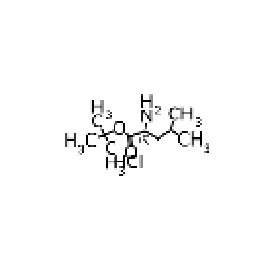 CC(C)C[C@H](N)C(=O)OC(C)(C)C.Cl